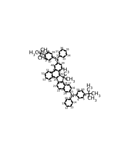 CC(C)(C)c1ccc(N(c2ccccc2)c2ccc3c4c(ccc3c2)-c2c(c3ccc(N(c5ccccc5)c5ccc(C(C)(C)C)cc5)cc3c3ccccc23)C4(C)C)cc1